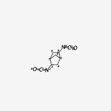 O=C=NC1CC2CC1CC2N=C=O